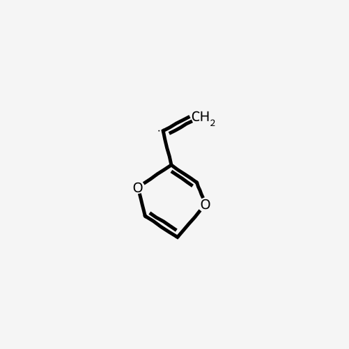 C=[C]C1=COC=CO1